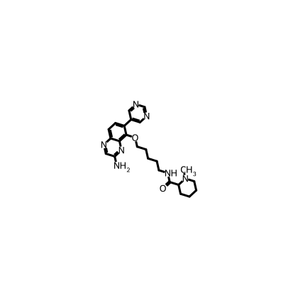 CN1CCCCC1C(=O)NCCCCCOc1c(-c2cncnc2)ccc2ncc(N)nc12